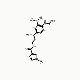 C[C@H](CCNC(=O)c1cn(C)cn1)c1ccc(NCC(C)(C)C)c(N(C)N=O)n1